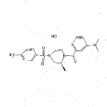 C[C@H]1CN(S(=O)(=O)c2ccc(C(F)(F)F)cc2)CCN1C(=O)c1cc(N(C)C)ccn1.Cl